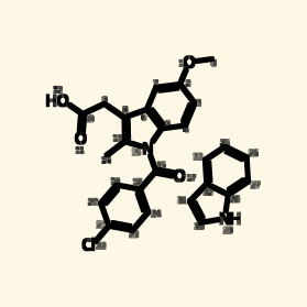 COc1ccc2c(c1)c(CC(=O)O)c(C)n2C(=O)c1ccc(Cl)cc1.c1ccc2[nH]ccc2c1